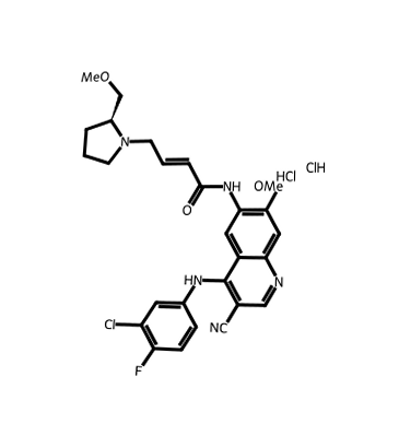 COC[C@@H]1CCCN1CC=CC(=O)Nc1cc2c(Nc3ccc(F)c(Cl)c3)c(C#N)cnc2cc1OC.Cl.Cl